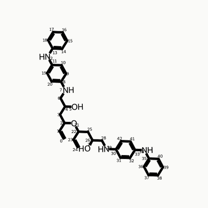 C=CC(CC(O)CNc1ccc(Nc2ccccc2)cc1)OC(C=C)CC(O)CNc1ccc(Nc2ccccc2)cc1